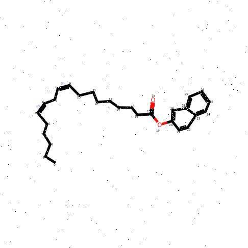 CCCCC/C=C\C/C=C\CCCCCCCC(=O)Oc1ccc2ccccc2c1